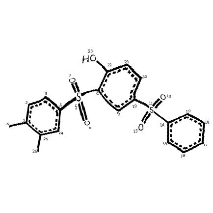 Cc1ccc(S(=O)(=O)c2cc(S(=O)(=O)c3ccccc3)ccc2O)cc1C